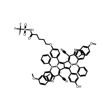 COc1ccc2sc(/C(C#N)=c3/c4c(-c5ccc(OCCCCC(=O)NS(=O)(=O)C(F)(F)F)cc5)n(B(c5ccccc5)c5ccccc5)/c(=C(/C#N)c5nc6cc(OC)ccc6s5)c4c(-c4ccc(O)cc4)n3B(c3ccccc3)c3ccccc3)nc2c1